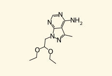 CCOC(Cn1nc(C)c2c(N)ncnc21)OCC